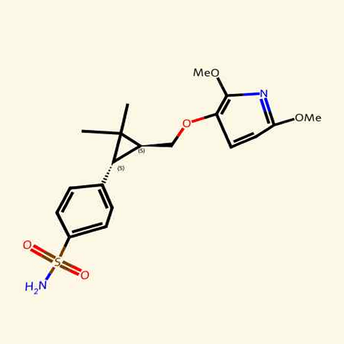 COc1ccc(OC[C@H]2[C@H](c3ccc(S(N)(=O)=O)cc3)C2(C)C)c(OC)n1